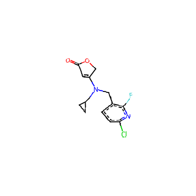 O=C1C=C(N(Cc2ccc(Cl)nc2F)C2CC2)CO1